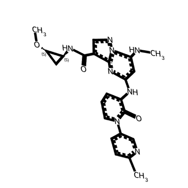 CNc1cc(Nc2cccn(-c3ccc(C)nc3)c2=O)nc2c(C(=O)N[C@H]3C[C@@H]3OC)cnn12